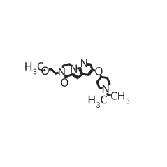 COCCN1CCn2c(cc3cc(OC4CCN(C(C)C)CC4)cnc32)C1=O